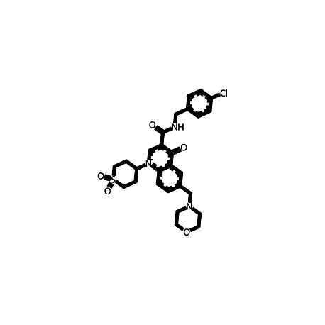 O=C(NCc1ccc(Cl)cc1)c1cn(C2CCS(=O)(=O)CC2)c2ccc(CN3CCOCC3)cc2c1=O